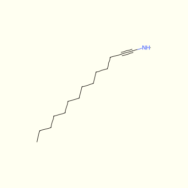 CCCCCCCCCCCCC#C[NH]